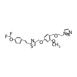 COc1cc(OCc2csc(C=Cc3ccc(OC(F)F)cc3)n2)ccc1COCCn1ccnn1